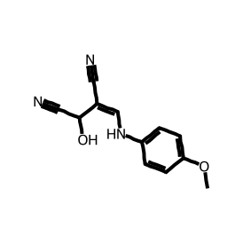 COc1ccc(NC=C(C#N)C(O)C#N)cc1